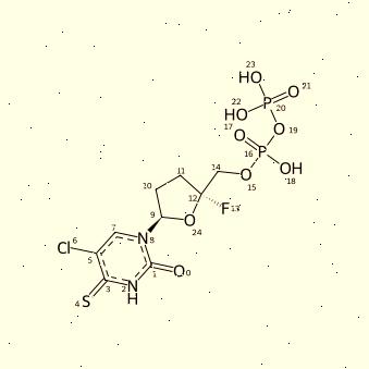 O=c1[nH]c(=S)c(Cl)cn1[C@H]1CC[C@@](F)(COP(=O)(O)OP(=O)(O)O)O1